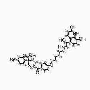 O=C(c1ccc(OCCCCCCNCC(O)c2ccc(O)c3[nH]c(=O)ccc23)cc1)N1CCC(C(=O)O)(c2ccc(Br)cc2)CC1